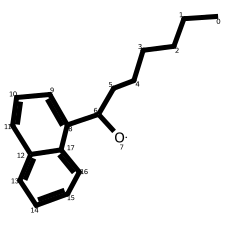 CCCCCCC([O])c1cccc2ccccc12